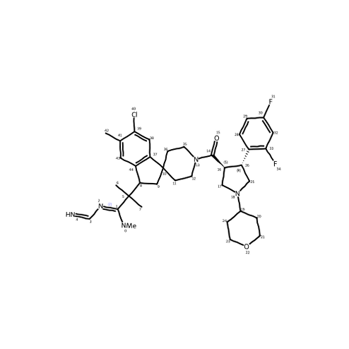 CN/C(=N\C=N)C(C)(C)C1CC2(CCN(C(=O)[C@@H]3CN(C4CCOCC4)C[C@H]3c3ccc(F)cc3F)CC2)c2cc(Cl)c(C)cc21